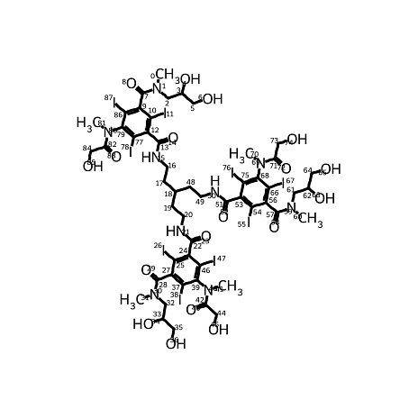 CN(CC(O)CO)C(=O)c1c(I)c(C(=O)NCCC(CCNC(=O)c2c(I)c(C(=O)N(C)CC(O)CO)c(I)c(N(C)C(=O)CO)c2I)CCNC(=O)c2c(I)c(C(=O)N(C)CC(O)CO)c(I)c(N(C)C(=O)CO)c2I)c(I)c(N(C)C(=O)CO)c1I